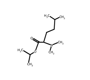 CC(C)CCC(C(=O)OC(C)C)N(C)C